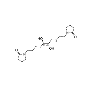 O=C1CCCN1CCCC[C@@H](O)[C@@H](O)CSCCN1CCCC1=O